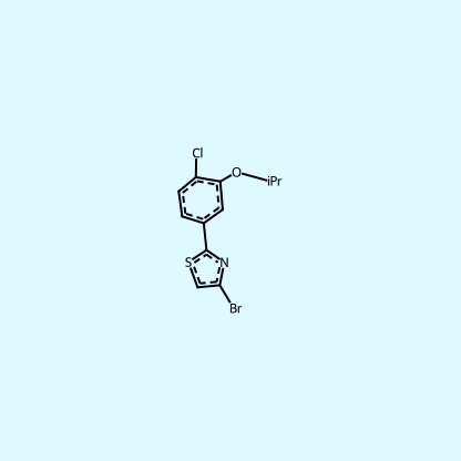 CC(C)Oc1cc(-c2nc(Br)cs2)ccc1Cl